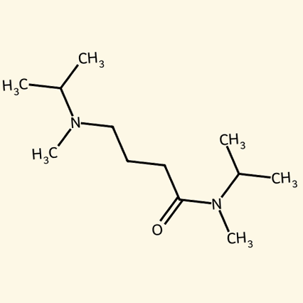 CC(C)N(C)CCCC(=O)N(C)C(C)C